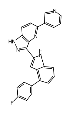 Fc1ccc(-c2cccc3[nH]c(-c4n[nH]c5ccc(-c6cccnc6)nc45)cc23)cc1